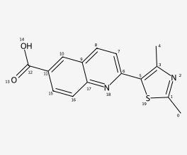 Cc1nc(C)c(-c2ccc3cc(C(=O)O)ccc3n2)s1